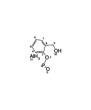 O=POc1ccccc1CO.[AlH3]